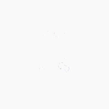 C[C@@H](CCCOCCNc1cc(B2OC(C)(C)C(C)(C)O2)cc2c1cnn2C1CCCCO1)NC(=O)OC(C)(C)C